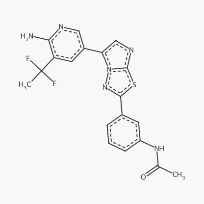 CC(=O)Nc1cccc(-c2nn3c(-c4cnc(N)c(C(C)(F)F)c4)cnc3s2)c1